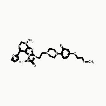 COCCOc1ccc(N2CCN(CCn3c(=O)n(C)n4c5c(nc34)N(N)CN=C5c3ccco3)CC2)c(F)c1